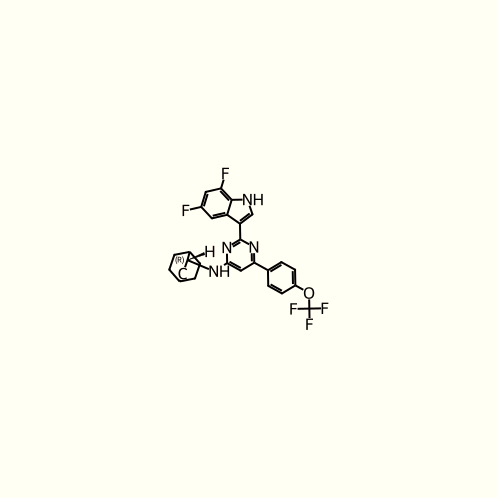 Fc1cc(F)c2[nH]cc(-c3nc(N[C@@H]4CC5CCC4CC5)cc(-c4ccc(OC(F)(F)F)cc4)n3)c2c1